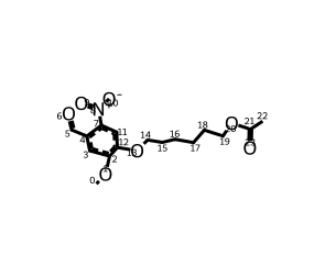 COc1cc(C=O)c([N+](=O)[O-])cc1OCCCCCCOC(C)=O